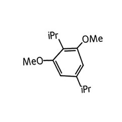 COc1cc(C(C)C)cc(OC)c1C(C)C